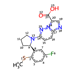 CSc1ccc(F)cc1[C@H]1CCCN1c1ccc2ncc(C(=O)O)n2n1